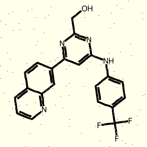 OCc1nc(Nc2ccc(C(F)(F)F)cc2)cc(-c2ccc3cccnc3c2)n1